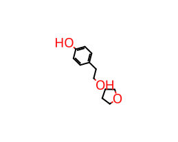 C1CCOC1.OCCc1ccc(O)cc1